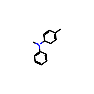 CC1=CCC(N(C)c2ccccc2)C=C1